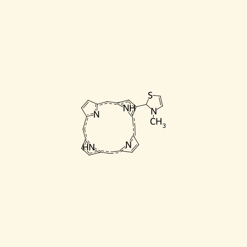 CN1C=CSC1c1cc2cc3nc(cc4ccc(cc5nc(cc1[nH]2)C=C5)[nH]4)C=C3